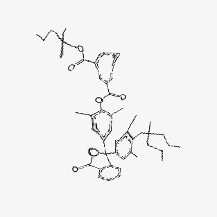 CCCC(C)(C)OC(=O)c1cccc(C(=O)Oc2c(C)cc(C3(c4cc(C)c(C(C)(CCC)CCC)c(C)c4)OC(=O)c4ccccc43)cc2C)c1